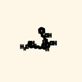 CN(C)CCCCCC1=C[C@H]2C[C@@H](O)[C@H](CC[C@@H](O)Cc3ccccc3)[C@H]2C1